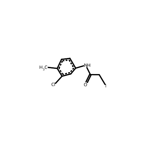 Cc1ccc(NC(=O)CI)cc1Cl